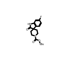 CC(C)(C)OC(=O)N1CCC2(CC1)C(=O)Nc1cc(F)ccc12